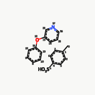 Cc1ccc(S(=O)(=O)O)cc1.c1ccc(Oc2cccnc2)cc1